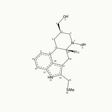 CCCN1C[C@H](CO)CC2c3cccc4[nH]c(CSC)c(c34)C[C@H]21